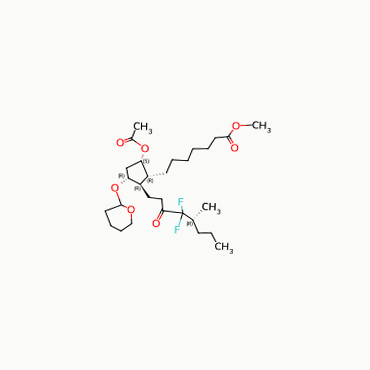 CCC[C@@H](C)C(F)(F)C(=O)CC[C@@H]1[C@@H](CCCCCCC(=O)OC)[C@@H](OC(C)=O)C[C@H]1OC1CCCCO1